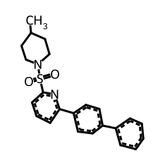 CC1CCN(S(=O)(=O)c2cccc(-c3ccc(-c4ccccc4)cc3)n2)CC1